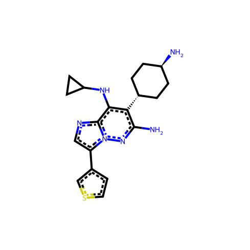 Nc1nn2c(-c3ccsc3)cnc2c(NC2CC2)c1[C@H]1CC[C@H](N)CC1